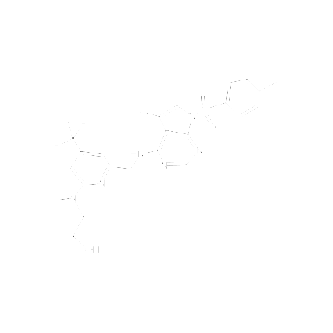 Cc1ccc(S(=O)(=O)n2cc(Br)c3c(NCc4cc(C(F)(F)F)cc(N(C)CCO)n4)ncnc32)cc1